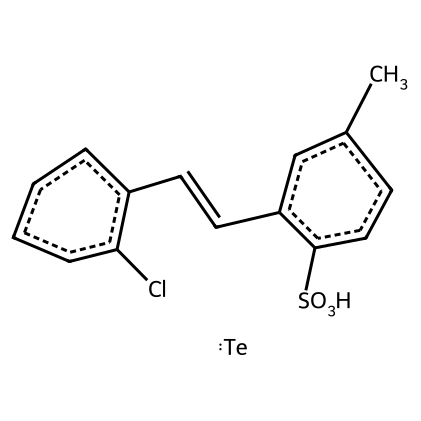 Cc1ccc(S(=O)(=O)O)c(C=Cc2ccccc2Cl)c1.[Te]